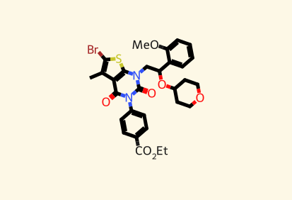 CCOC(=O)c1ccc(-n2c(=O)c3c(C)c(Br)sc3n(CC(OC3CCOCC3)c3ccccc3OC)c2=O)cc1